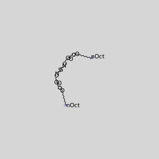 CCCCCCCC/C=C\CCCCCCCCOc1ccc(CC(=O)OCCC2CCN(CCSSCCN3CCC(CCOC(=O)Cc4ccc(OCCCCCCCC/C=C\CCCCCCCC)cc4)CC3)CC2)cc1